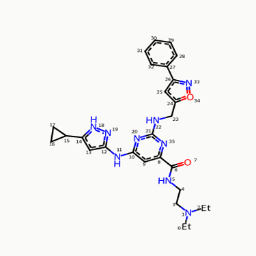 CCN(CC)CCNC(=O)c1cc(Nc2cc(C3CC3)[nH]n2)nc(NCc2cc(-c3ccccc3)no2)n1